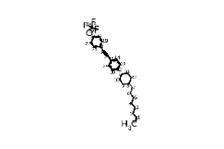 CCCCCCCC[C@H]1CC[C@H](c2ccc(C#Cc3ccc(OC(F)(F)F)cc3)cc2)CC1